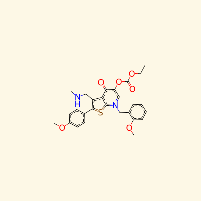 CCOC(=O)Oc1cn(Cc2ccccc2OC)c2sc(-c3ccc(OC)cc3)c(CNC)c2c1=O